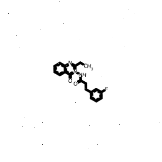 CCc1nc2ccccc2c(=O)n1NC(=O)CCc1cccc(F)c1